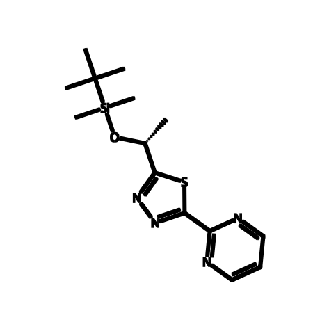 C[C@@H](O[Si](C)(C)C(C)(C)C)c1nnc(-c2ncccn2)s1